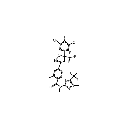 Cc1cc(C2=NOC(c3cc(Cl)c(F)c(Cl)c3)(C(F)(F)F)C2)ccc1C(=O)N(C)c1nc(C(C)(F)F)n(C)n1